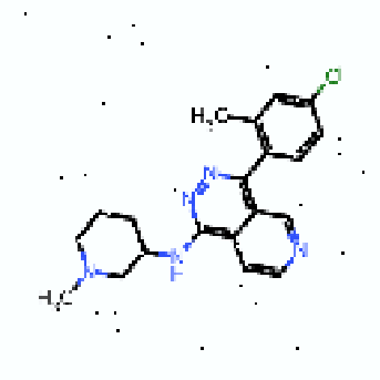 Cc1cc(Cl)ccc1-c1nnc(NC2CCCN(C)C2)c2ccncc12